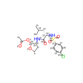 CC(=O)O[C@@H]1OCC[C@@H]1NC(=O)[C@H](CC(C)C)NS(=O)(=O)c1ccc(Cl)cc1